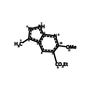 CCOC(=O)c1cc2c(C)n[nH]c2nc1OC